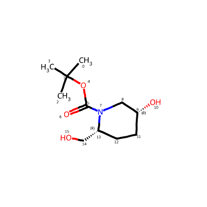 CC(C)(C)OC(=O)N1C[C@H](O)CC[C@@H]1CO